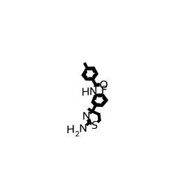 Cc1ccc(C(=O)Nc2cc(C3(C)CCSC(N)=N3)ccc2F)cc1